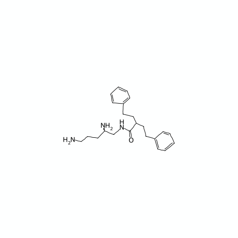 NCCC[C@@H](N)CNC(=O)C(CCc1ccccc1)CCc1ccccc1